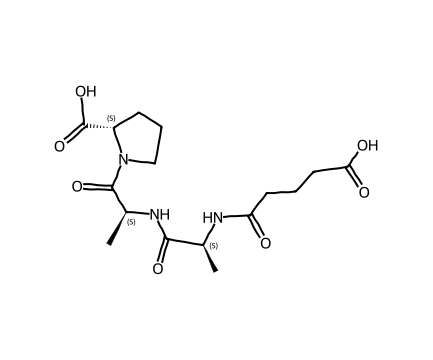 C[C@H](NC(=O)CCCC(=O)O)C(=O)N[C@@H](C)C(=O)N1CCC[C@H]1C(=O)O